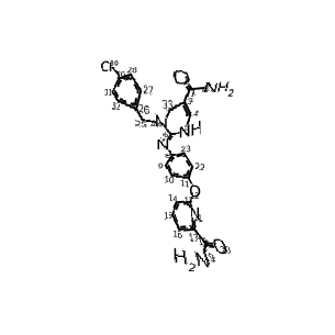 NC(=O)C1=CN/C(=N\c2ccc(Oc3cccc(C(N)=O)n3)cc2)N(Cc2ccc(Cl)cc2)C1